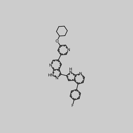 Fc1ccc(-c2ccnc3[nH]c(-c4n[nH]c5ncc(-c6cncc(OC7CCCCC7)c6)cc45)cc23)cc1